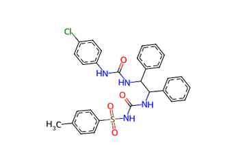 Cc1ccc(S(=O)(=O)NC(=O)NC(c2ccccc2)C(NC(=O)Nc2ccc(Cl)cc2)c2ccccc2)cc1